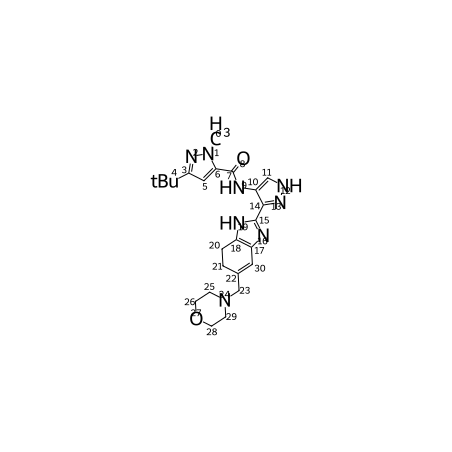 Cn1nc(C(C)(C)C)cc1C(=O)Nc1c[nH]nc1-c1nc2c([nH]1)CCC(CN1CCOCC1)=C2